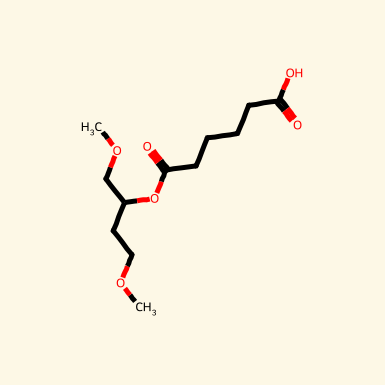 COCCC(COC)OC(=O)CCCCC(=O)O